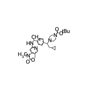 C[C@H](Nc1cc2c(cn1)COC(=O)N2C)c1ccc(C(CC2CC2)N2CCN(C(=O)OC(C)(C)C)CC2)cc1